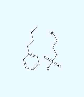 CCCC[n+]1ccccc1.O=S(=O)([O-])CCCO